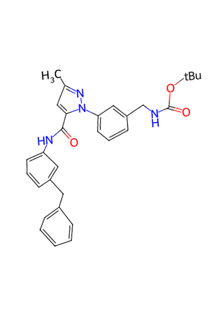 Cc1cc(C(=O)Nc2cccc(Cc3ccccc3)c2)n(-c2cccc(CNC(=O)OC(C)(C)C)c2)n1